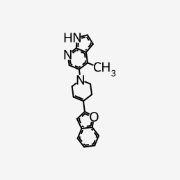 Cc1c(N2CC=C(c3cc4ccccc4o3)CC2)cnc2[nH]ccc12